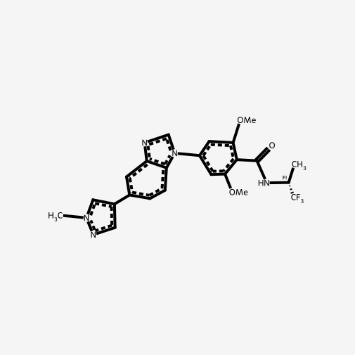 COc1cc(-n2cnc3cc(-c4cnn(C)c4)ccc32)cc(OC)c1C(=O)N[C@H](C)C(F)(F)F